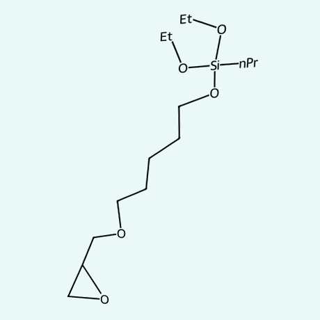 CCC[Si](OCC)(OCC)OCCCCCOCC1CO1